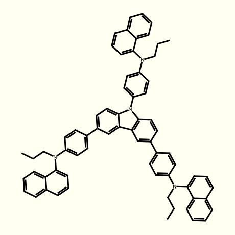 CCCN(c1ccc(-c2ccc3c(c2)c2cc(-c4ccc(N(CCC)c5cccc6ccccc56)cc4)ccc2n3-c2ccc(N(CCC)c3cccc4ccccc34)cc2)cc1)c1cccc2ccccc12